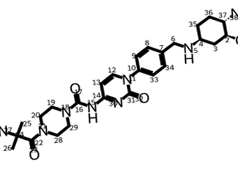 CO[C@H]1C[C@@H](NCc2ccc(-n3ccc(NC(=O)N4CCN(C(=O)C(C)(C)N)CC4)nc3=O)cc2)CC[C@@H]1N